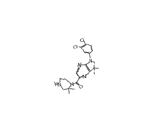 CC1(C)CN(c2ccc(Cl)c(Cl)c2)c2ncc(C(=O)N3CCNCC3(C)C)nc21